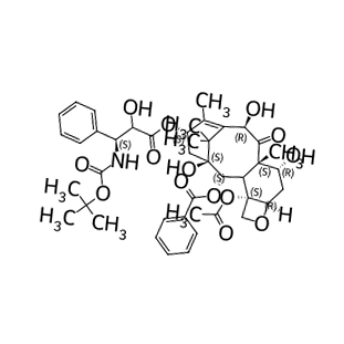 CC(=O)O[C@@]12CO[C@@H]1C[C@@H](O)[C@@]1(C)C(=O)[C@H](O)C3=C(C)[C@@H](OC(=O)C(O)[C@@H](NC(=O)OC(C)(C)C)c4ccccc4)C[C@@](O)([C@@H](OC(=O)c4ccccc4)C12)C3(C)C